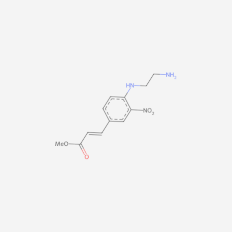 COC(=O)C=Cc1ccc(NCCN)c([N+](=O)[O-])c1